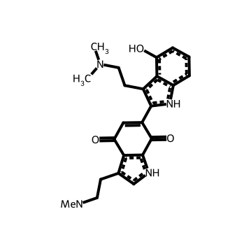 CNCCc1c[nH]c2c1C(=O)C=C(c1[nH]c3cccc(O)c3c1CCN(C)C)C2=O